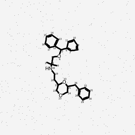 CC(C)(COC(c1ccccc1)c1ccccc1)NCCC1COCC(Cc2ccccc2)O1